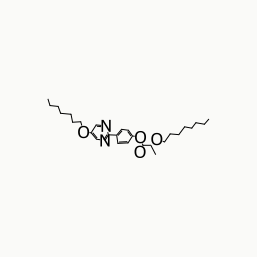 CCCCCCCCOC(C)C(=O)Oc1ccc(-c2ncc(OCCCCCCC)cn2)cc1